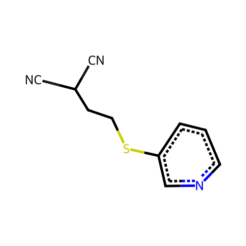 N#CC(C#N)CCSc1cccnc1